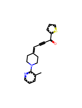 Cc1cccnc1N1CCC(=CC#CC(=O)c2cccs2)CC1